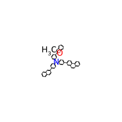 Cc1c(-c2cccc(N(c3ccc(-c4ccc5ccccc5c4)cc3)c3ccc(-c4ccc5c(ccc6ccccc65)c4)cc3)c2)oc2ccccc12